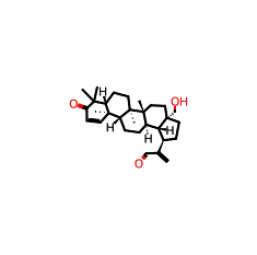 C=C(C=O)[C@@H]1CC[C@]2(CO)CC[C@]3(C)[C@H](CC[C@@H]4[C@@]5(C)C=CC(=O)C(C)(C)[C@@H]5CC[C@]43C)[C@@H]12